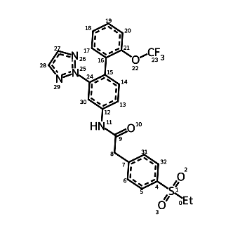 CCS(=O)(=O)c1ccc(CC(=O)Nc2ccc(-c3ccccc3OC(F)(F)F)c(-n3nccn3)c2)cc1